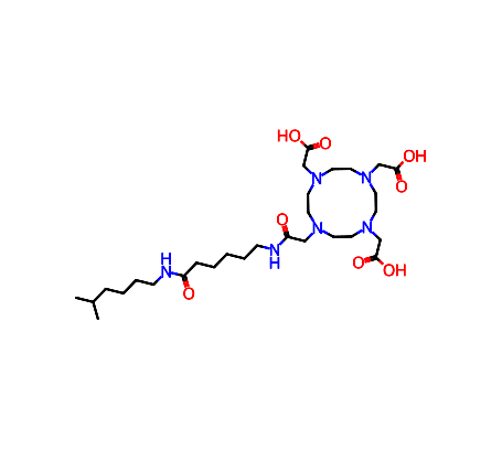 CC(C)CCCCNC(=O)CCCCCNC(=O)CN1CCN(CC(=O)O)CCN(CC(=O)O)CCN(CC(=O)O)CC1